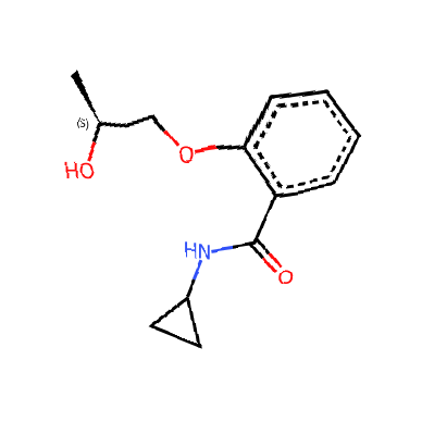 C[C@H](O)COc1ccccc1C(=O)NC1CC1